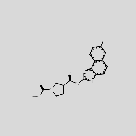 CC(C)(C)OC(=O)N1CCC(C(=O)Nc2nc3ccc4cc(F)ccc4c3s2)C1